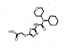 O=C(O)CSc1nnc(NC(=O)N(C2CCCCC2)C2CCOCC2)s1